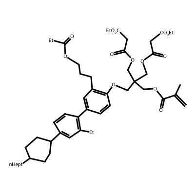 C=C(C)C(=O)OCC(COC(=O)CC(=O)OCC)(COC(=O)CC(=O)OCC)COc1ccc(-c2ccc(C3CCC(CCCCCCC)CC3)cc2CC)cc1CCCOC(=O)CC